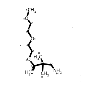 C=C(OCCOCCOC)C(C)(C)CN